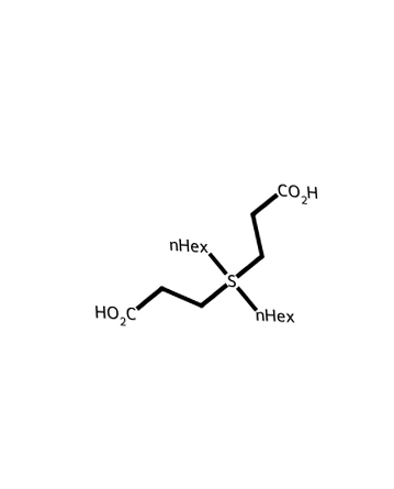 CCCCCCS(CCCCCC)(CCC(=O)O)CCC(=O)O